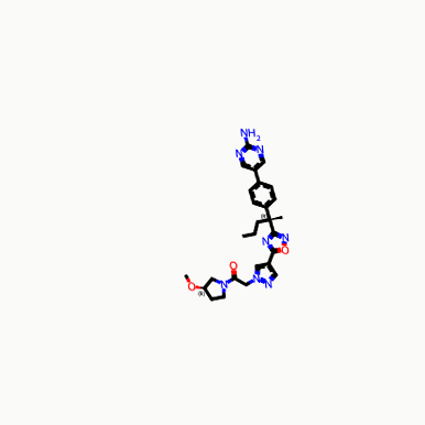 CCC[C@](C)(c1ccc(-c2cnc(N)nc2)cc1)c1noc(-c2cnn(CC(=O)N3CC[C@@H](OC)C3)c2)n1